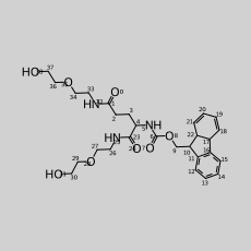 O=C(CCC(NC(=O)OCC1c2ccccc2C2C=CC=CC21)C(=O)NCCOCCO)NCCOCCO